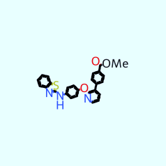 COC(=O)c1ccc(-c2cccnc2Oc2ccc(Nc3nc4ccccc4s3)cc2)cc1